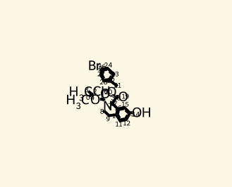 CC(C)(C)OC(=O)N1CCc2ccc(O)cc2C1C(=O)OCc1ccc(Br)cc1